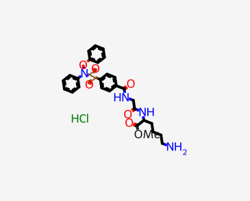 COC(=O)C(CCCCN)NC(=O)CNC(=O)c1ccc(S(=O)(=O)N(Oc2ccccc2)c2ccccc2)cc1.Cl